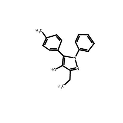 CCc1nn(-c2ccccc2)c(-c2ccc(C)cc2)c1O